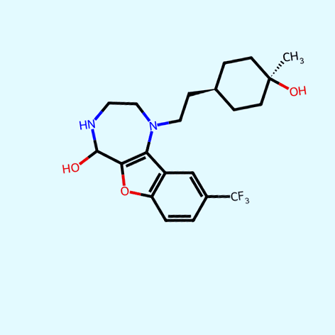 C[C@]1(O)CC[C@@H](CCN2CCNC(O)c3oc4ccc(C(F)(F)F)cc4c32)CC1